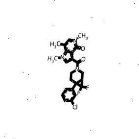 Cc1cn(C)c(=O)c2c(C(=O)N3CCC4(c5cccc(Cl)c5)C(C3)C4(F)F)cn(C)c12